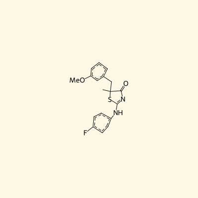 COc1cccc(CC2(C)SC(Nc3ccc(F)cc3)=NC2=O)c1